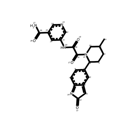 CC1CCC(c2ccc3c(c2)=CC(=O)N=3)N(C(=O)C(=O)Nc2cncc(C(N)=O)c2)C1